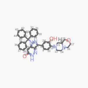 O=c1cc2c(n[nH]1)c(-c1ccc(N3CCN4CCOC[C@H]4C3)c(O)c1)nn2C(c1ccccc1)(c1ccccc1)c1ccccc1